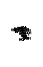 CC(S)C(=O)O.CCC(S)C(=O)O.CCC(S)C(=O)O.CCC(S)C(=O)O.CCC(S)C(=O)O.OCC(CO)(CO)CO